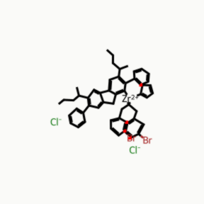 CCCC(C)c1cc2c(cc1-c1ccccc1)Cc1c-2cc(C(C)CCC)c(-c2ccccc2)[c]1[Zr+2]([C]1=CC=CC1)=[C](Cc1cccc(Br)c1)Cc1cccc(Br)c1.[Cl-].[Cl-]